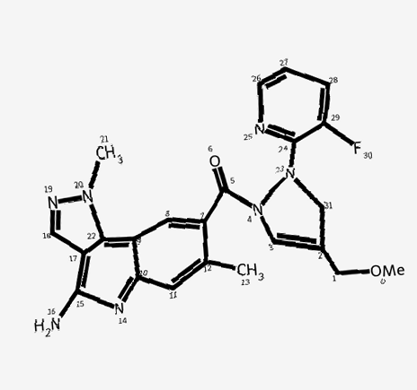 COCC1=CN(C(=O)c2cc3c(cc2C)nc(N)c2cnn(C)c23)N(c2ncccc2F)C1